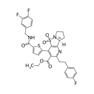 CCOC(=O)c1c(CCc2ccc(F)cc2)nc2c(c1-c1ccc(C(=O)NCc3ccc(F)c(F)c3)s1)S(=O)(=O)N1CCC[C@@H]21